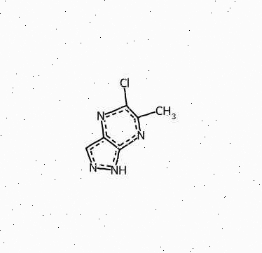 Cc1nc2[nH]ncc2nc1Cl